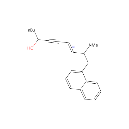 CCCCC(O)C#C/C=C/C(Cc1cccc2ccccc12)NC